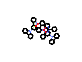 FC(F)(F)c1cccc(-n2c3ccccc3c3cc(-n4c5ccccc5c5ccccc54)ccc32)c1-c1c(-c2nc(-c3ccccc3)nc(-c3ccccc3)n2)cccc1-n1c2ccccc2c2cc(-n3c4ccccc4c4ccccc43)ccc21